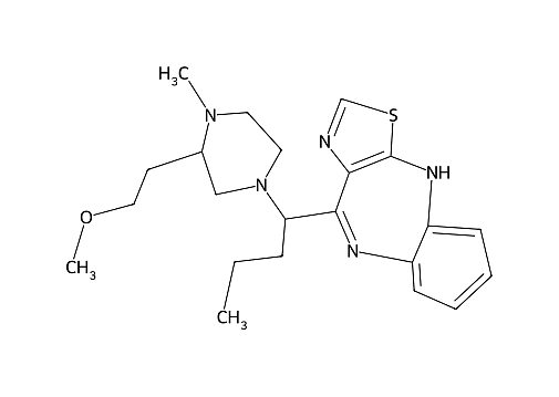 CCCC(C1=Nc2ccccc2Nc2scnc21)N1CCN(C)C(CCOC)C1